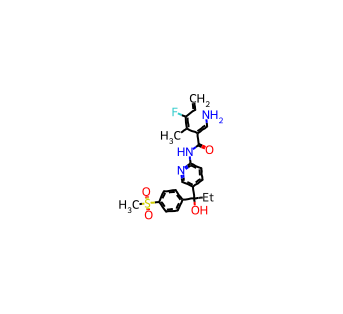 C=C/C(F)=C(C)\C(=C/N)C(=O)Nc1ccc(C(O)(CC)c2ccc(S(C)(=O)=O)cc2)cn1